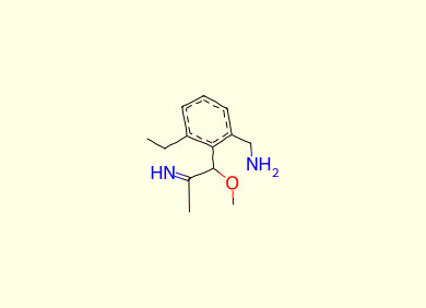 CCc1cccc(CN)c1C(OC)C(C)=N